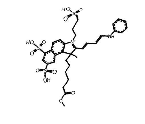 COC(=O)CCCCCC1(C)C(/C=C/C=C/Nc2ccccc2)=[N+](CCCS(=O)(=O)O)c2ccc3c(S(=O)(=O)O)cc(S(=O)(=O)O)cc3c21